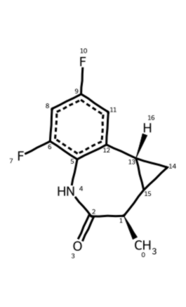 C[C@H]1C(=O)Nc2c(F)cc(F)cc2[C@@H]2CC12